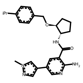 CC(C)c1ccc(CO[C@H]2CCC[C@@H]2NC(=O)c2cc(-c3cnn(C)c3)cnc2N)cc1